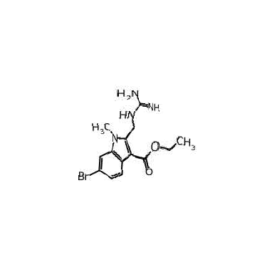 CCOC(=O)c1c(CNC(=N)N)n(C)c2cc(Br)ccc12